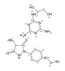 CCCCC1C(=O)NN(c2ccccc2)C1=O.CCOCC.Nc1nc(N)nc(N)n1.OCCO